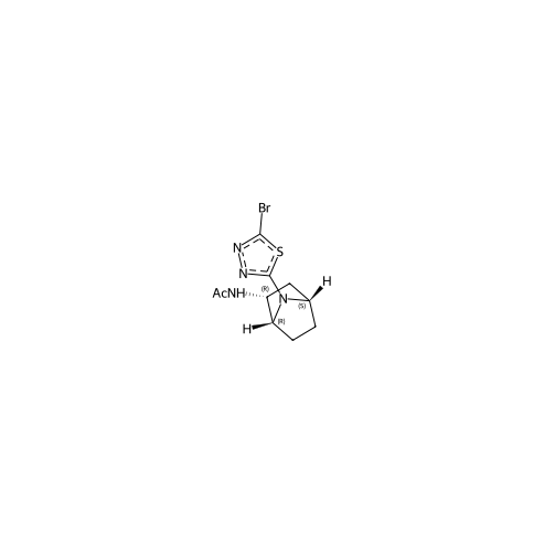 CC(=O)N[C@@H]1C[C@@H]2CC[C@H]1N2c1nnc(Br)s1